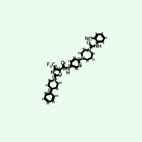 N#Cc1ccccc1NC(=O)N1CCCN(c2ccc(NC(=O)c3oc(N4CCC(c5ccccc5)CC4)nc3C(F)(F)F)cn2)CC1